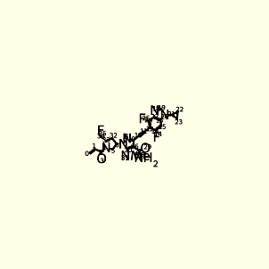 C=CC(=O)N1C[C@@H](n2nc(C#Cc3c(F)cc4c(ncn4C4CC4)c3F)c(C(N)=O)c2NC)C[C@@H]1CF